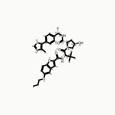 CCCOc1ccc2oc(C(=O)N[C@H](C(=O)N3C[C@H](O)C[C@H]3C(=O)N[C@@H](C)c3ccc(-c4scnc4C)cc3)C(C)(C)C)cc2c1